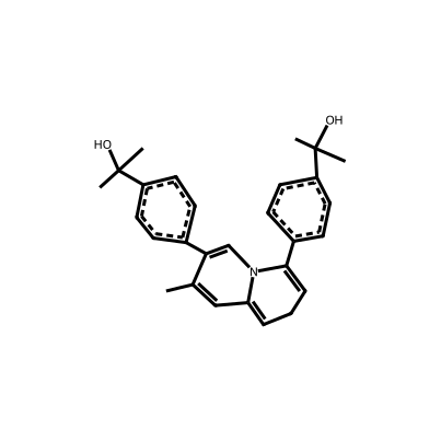 CC1=CC2=CCC=C(c3ccc(C(C)(C)O)cc3)N2C=C1c1ccc(C(C)(C)O)cc1